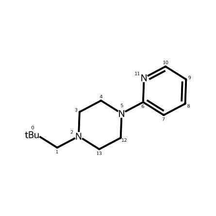 [CH2]C(C)(C)CN1CCN(c2ccccn2)CC1